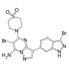 Nc1c(Br)c(N2CCS(=O)(=O)CC2)nc2c(-c3ccc4c(Br)n[nH]c4c3)cnn12